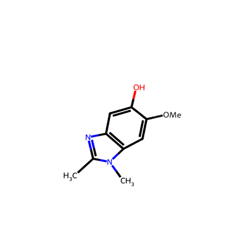 COc1cc2c(cc1O)nc(C)n2C